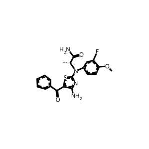 COc1ccc(N(c2nc(N)c(C(=O)c3ccccc3)s2)[C@H](C)C(N)=O)cc1F